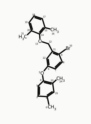 Cc1ccc(Oc2ccc(Br)c(COc3c(C)cccc3C)c2)c(C)c1